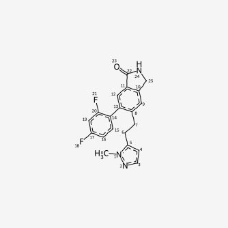 Cn1nccc1CCc1cc2c(cc1-c1ccc(F)cc1F)C(=O)NC2